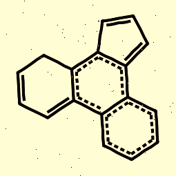 [C]1=CC=c2c1c1c(c3ccccc23)=CC=CC1